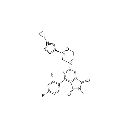 CN1C(=O)c2cc([C@H]3CCO[C@H](c4cnn(C5CC5)c4)C3)nc(-c3ccc(F)cc3F)c2C1=O